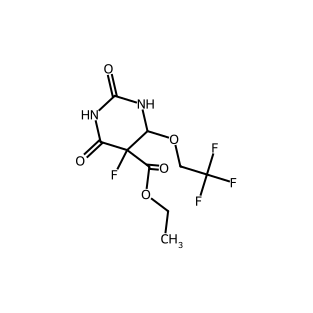 CCOC(=O)C1(F)C(=O)NC(=O)NC1OCC(F)(F)F